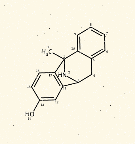 CC12NC(Cc3ccccc31)c1cc(O)ccc12